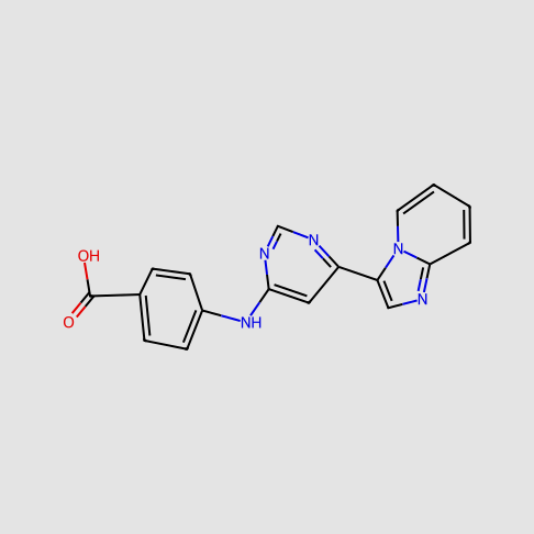 O=C(O)c1ccc(Nc2cc(-c3cnc4ccccn34)ncn2)cc1